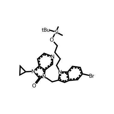 CC(C)(C)[Si](C)(C)OCCCCn1c(Cn2c(=O)n(C3CC3)c3ccncc32)cc2cc(Br)ccc21